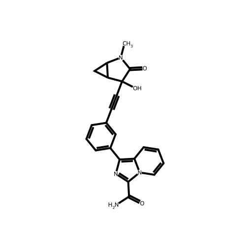 CN1C(=O)C(O)(C#Cc2cccc(-c3nc(C(N)=O)n4ccccc34)c2)C2CC21